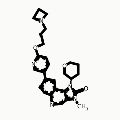 Cn1c(=O)n([C@@H]2CCCOC2)c2c3cc(-c4ccc(OCCCN5CCC5)nc4)ccc3ncc21